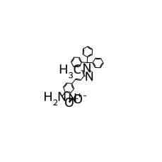 Cc1c(C=Cc2ccc(N)c([N+](=O)[O-])c2)ncn1C(c1ccccc1)(c1ccccc1)c1ccccc1